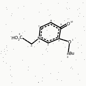 CCCCOc1cn(CC(=O)O)ccc1=O